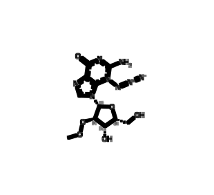 COO[C@@H]1[C@@H](O)[C@@H](CO)O[C@H]1n1cnc2c(=O)nc(N)n(N=[N+]=[N-])c21